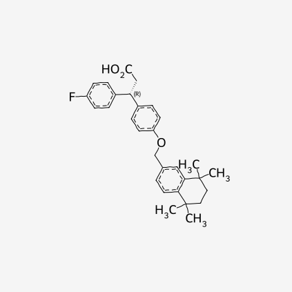 CC1(C)CCC(C)(C)c2cc(COc3ccc([C@@H](CC(=O)O)c4ccc(F)cc4)cc3)ccc21